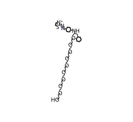 C[n+]1ccsc1/N=N/c1ccc(NC(COCCOCCOCCOCCOCCOCCOCCOCCOCCO)Cc2ccccc2)cc1